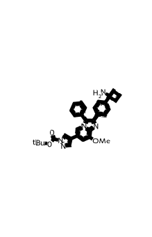 COc1cc(-c2cnn(C(=O)OC(C)(C)C)c2)cn2c(-c3ccccc3)c(-c3ccc(C4(N)CCC4)cc3)nc12